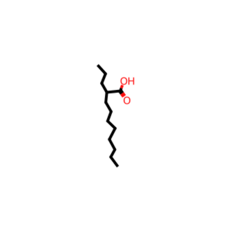 CCCCCCCCC(CCC)C(=O)O